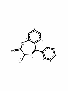 NC1N=C(c2ccccc2)c2ncccc2NC1=O